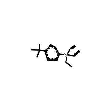 C=C[Si](C=C)(CC)c1ccc(C(C)(C)C)cc1